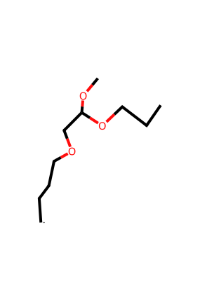 [CH2]CCCOCC(OC)OCCC